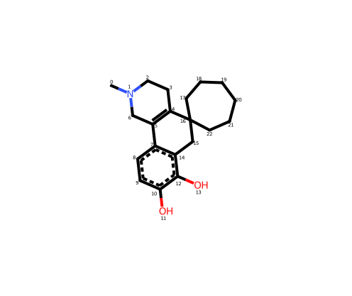 CN1CCC2=C(C1)c1ccc(O)c(O)c1CC21CCCCCC1